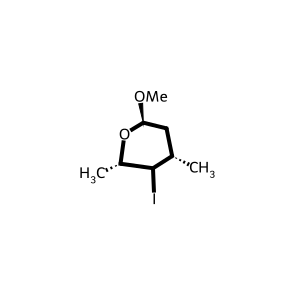 CO[C@H]1C[C@H](C)C(I)[C@H](C)O1